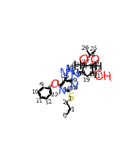 CCCSc1nc(Oc2ccccc2)c2nnn([C@@H]3C[C@H](O)[C@H]4OC(C)(C)O[C@H]43)c2n1